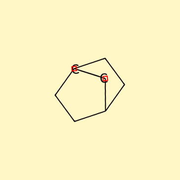 C1CC23CCC1C2CC3